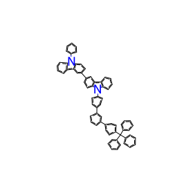 c1ccc(-n2c3ccccc3c3cc(-c4ccc5c(c4)c4ccccc4n5-c4ccc(-c5cccc(-c6ccc(C(c7ccccc7)(c7ccccc7)c7ccccc7)cc6)c5)cc4)ccc32)cc1